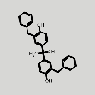 CC(C)(c1ccc(O)c(Cc2ccccc2)c1)c1ccc(O)c(Cc2ccccc2)c1